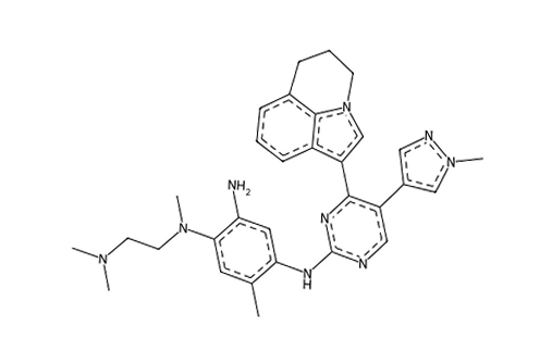 Cc1cc(N(C)CCN(C)C)c(N)cc1Nc1ncc(-c2cnn(C)c2)c(-c2cn3c4c(cccc24)CCC3)n1